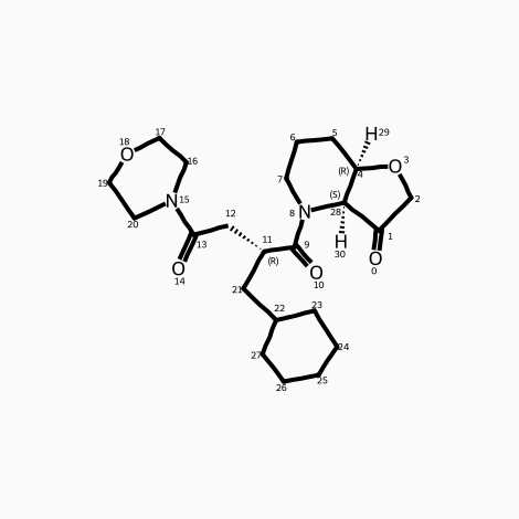 O=C1CO[C@@H]2CCCN(C(=O)[C@@H](CC(=O)N3CCOCC3)CC3CCCCC3)[C@H]12